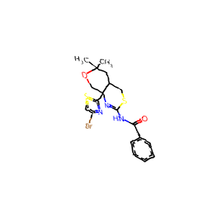 CC1(C)CC2CSC(NC(=O)c3ccccc3)=NC2(c2nc(Br)cs2)CO1